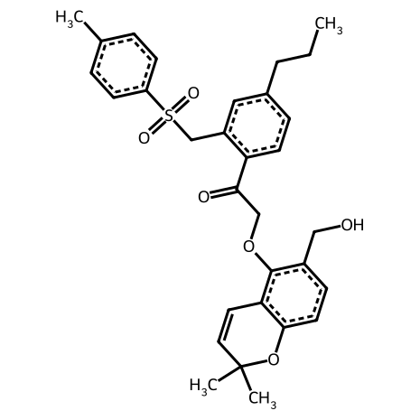 CCCc1ccc(C(=O)COc2c(CO)ccc3c2C=CC(C)(C)O3)c(CS(=O)(=O)c2ccc(C)cc2)c1